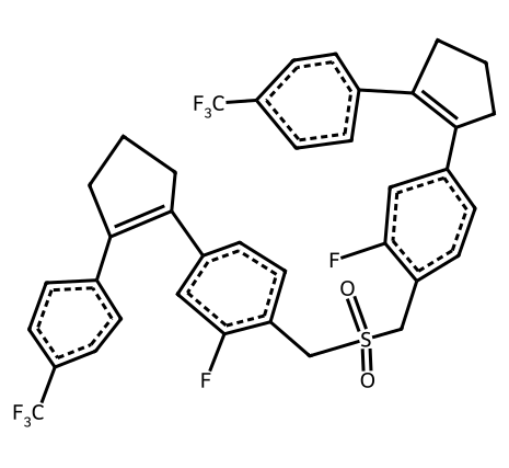 O=S(=O)(Cc1ccc(C2=C(c3ccc(C(F)(F)F)cc3)CCC2)cc1F)Cc1ccc(C2=C(c3ccc(C(F)(F)F)cc3)CCC2)cc1F